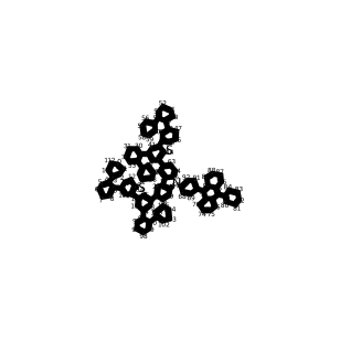 c1ccc(-c2ccccc2-c2ccc3sc4c(-c5ccc6c(c5)c5cc(-c7cc(-c8ccccc8-c8ccccc8)cc8c7sc7ccc(-c9ccccc9-c9ccccc9)cc78)ccc5n6-c5ccc(-c6c7ccccc7c(-c7ccccc7)c7ccccc67)cc5)cc(-c5ccccc5-c5ccccc5)cc4c3c2)cc1